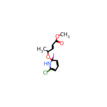 COC(=O)C=CC(C)OC1(I)C=CC=C(Cl)N1